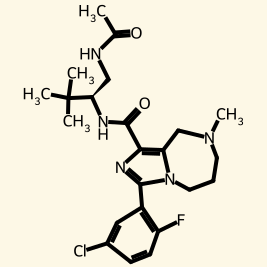 CC(=O)NC[C@@H](NC(=O)c1nc(-c2cc(Cl)ccc2F)n2c1CN(C)CCC2)C(C)(C)C